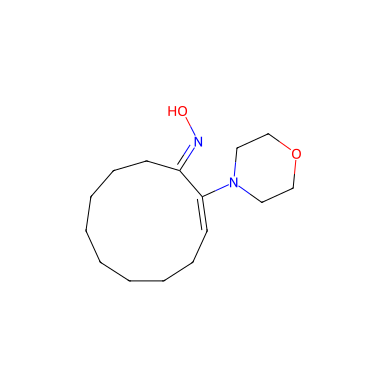 ON=C1CCCCCCCCC=C1N1CCOCC1